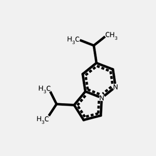 CC(C)c1cnn2ccc(C(C)C)c2c1